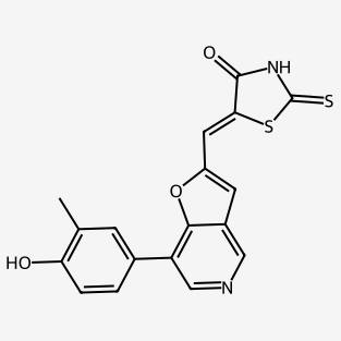 Cc1cc(-c2cncc3cc(/C=C4\SC(=S)NC4=O)oc23)ccc1O